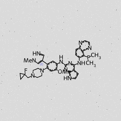 CN/C=C(\C=N)c1cc(Nc2nc(Nc3ccc4nccnc4c3P(C)C)c3cc[nH]c3n2)c(OC)cc1N1CCN(CC2(F)CC2)CC1